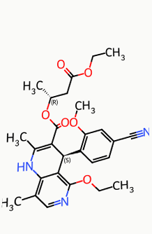 CCOC(=O)C[C@@H](C)OC(=O)C1=C(C)Nc2c(C)cnc(OCC)c2[C@@H]1c1ccc(C#N)cc1OC